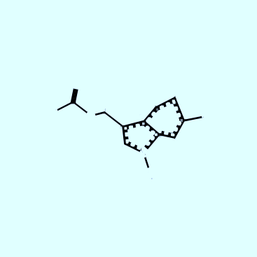 CC(=O)OCc1cn(C)c2cc(O)ccc12